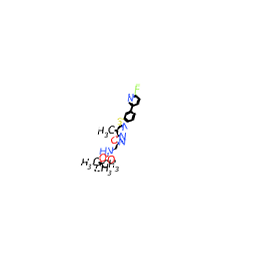 CC(c1nnc(CNC(=O)OC(C)(C)C)o1)c1nc2ccc(-c3ccc(F)nc3)cc2s1